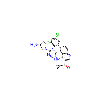 NC1CCN(c2ncc(Nc3c(C(=O)C4CC4)cnc4ccc(-c5cc(Cl)cc(Cl)c5)cc34)cn2)C1